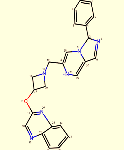 C1=NC(c2ccccc2)N2C=C(CN3CC(Oc4cnc5ccccc5n4)C3)NC=C12